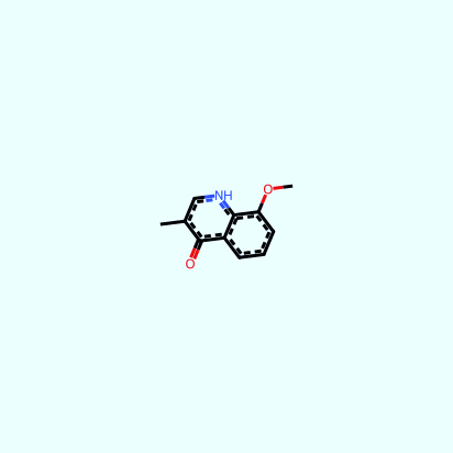 COc1cccc2c(=O)c(C)c[nH]c12